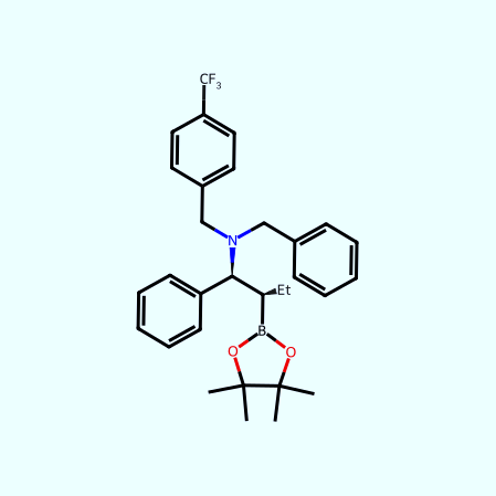 CC[C@@H](B1OC(C)(C)C(C)(C)O1)[C@@H](c1ccccc1)N(Cc1ccccc1)Cc1ccc(C(F)(F)F)cc1